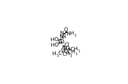 CC(C)OP(=O)(OC(C)C)/C(Cl)=C/[C@H]1OC(n2cnc(C(N)=O)n2)[C@H](O)[C@@H]1O